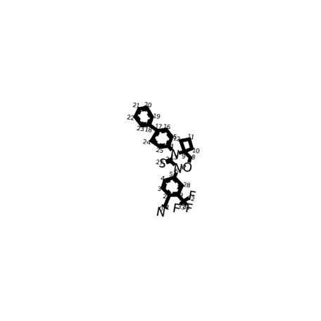 N#Cc1ccc(N2OCC3(CCC3)N(c3ccc(-c4ccccc4)cc3)C2=S)cc1C(F)(F)F